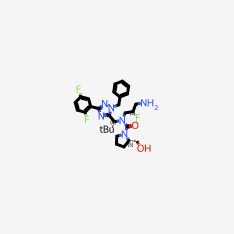 CC(C)(C)[C@H](c1nc(-c2cc(F)ccc2F)nn1Cc1ccccc1)N(C[C@@H](F)CN)C(=O)N1CCC[C@H]1CO